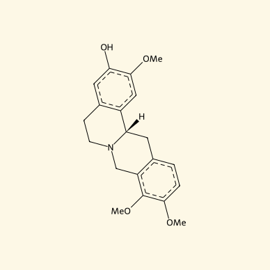 COc1cc2c(cc1O)CCN1Cc3c(ccc(OC)c3OC)C[C@@H]21